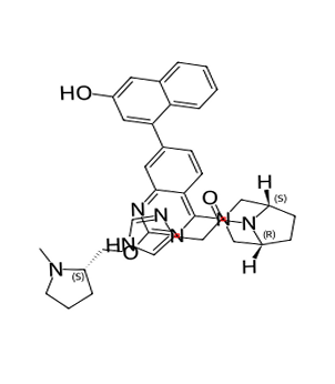 CN1CCC[C@H]1COc1nc(N2C[C@H]3CC[C@@H](C2)N3C(=O)Cc2c[nH]cn2)c2ccc(-c3cc(O)cc4ccccc34)cc2n1